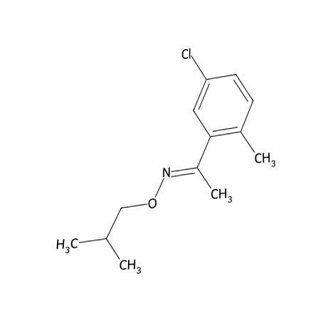 C/C(=N\OCC(C)C)c1cc(Cl)ccc1C